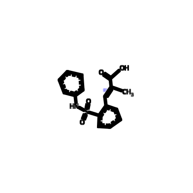 C/C(=C\c1ccccc1S(=O)(=O)Nc1ccccc1)C(=O)O